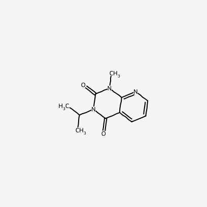 CC(C)n1c(=O)c2cccnc2n(C)c1=O